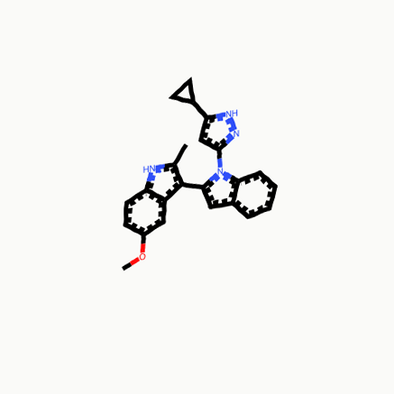 COc1ccc2[nH]c(C)c(-c3[c]c4ccccc4n3-c3cc(C4CC4)[nH]n3)c2c1